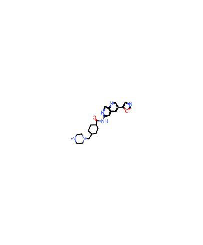 CN1CCN(CC2CCC(C(=O)Nc3cc4cc(-c5cnco5)cnc4cn3)CC2)CC1